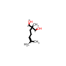 CC(C)=CCCC(C)(CO)CO